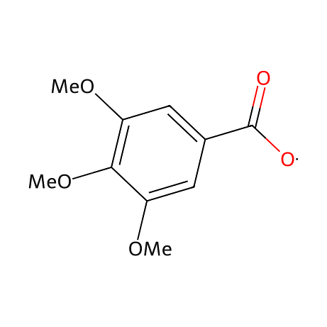 COc1cc(C([O])=O)cc(OC)c1OC